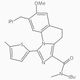 COc1cc2c(cc1CC(C)C)-n1c(-c3ccc(C)s3)nc(C(=O)N(C)C(C)(C)C)c1CC2